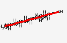 NC(=O)[C@H](CCCCNC(=O)COCCOCCNC(=O)COCCOCCNC(=O)COCCOCCNC(=O)COCCOCCNC(=O)COCCOCCNC(=O)[C@@H](N)CCCCNC(=O)[C@@H](N)CCCCNC(=O)CCCCCNC(=O)CCCCCCCCCCCCCCCS)NI